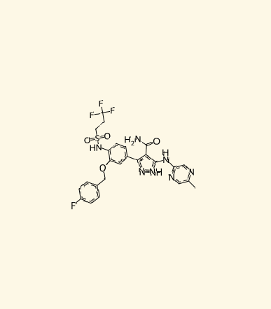 Cc1cnc(Nc2[nH]nc(-c3ccc(NS(=O)(=O)CCC(F)(F)F)c(OCc4ccc(F)cc4)c3)c2C(N)=O)cn1